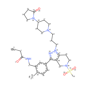 CC(C)(C)CC(=O)NCc1cc(-c2nn(CCCN3CCC(N4CCCC4=O)CC3)c3c2CN(S(C)(=O)=O)CC3)ccc1C(F)(F)F